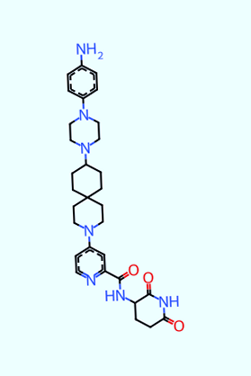 Nc1ccc(N2CCN(C3CCC4(CC3)CCN(c3ccnc(C(=O)NC5CCC(=O)NC5=O)c3)CC4)CC2)cc1